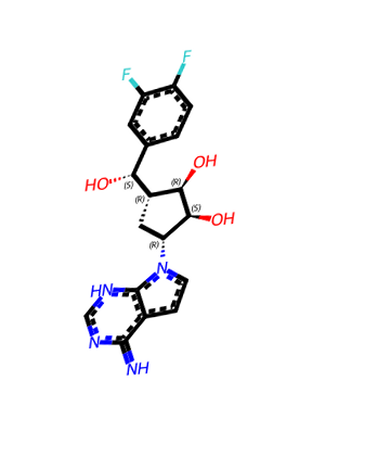 N=c1nc[nH]c2c1ccn2[C@@H]1C[C@H]([C@H](O)c2ccc(F)c(F)c2)[C@@H](O)[C@H]1O